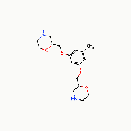 Cc1cc(OC[C@@H]2CNCCO2)cc(OC[C@@H]2CNCCO2)c1